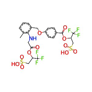 Cc1cccc(COc2ccc(C(=O)OC(CS(=O)(=O)O)C(F)(F)F)cc2)c1NCC(=O)OC(CS(=O)(=O)O)C(F)(F)F